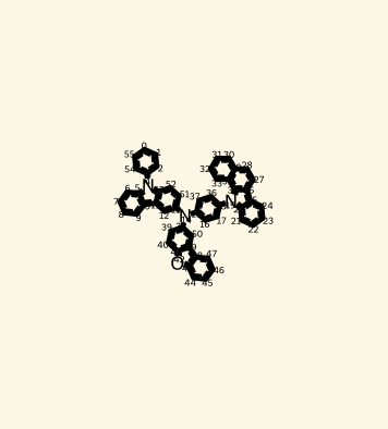 c1ccc(-n2c3ccccc3c3cc(N(c4ccc(-n5c6ccccc6c6ccc7ccccc7c65)cc4)c4ccc5oc6ccccc6c5c4)ccc32)cc1